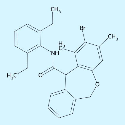 CCc1cccc(CC)c1NC(=O)C1c2ccccc2COc2cc(C)c(Br)c(C)c21